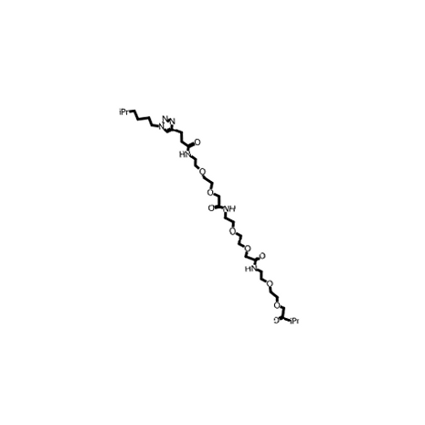 CC(C)CCCCn1cc(CCC(=O)NCCOCCOCC(=O)NCCOCCOCC(=O)NCCOCCOCC(=O)C(C)C)nn1